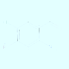 Nc1cc(Br)c(Cl)cc1C=O